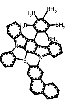 Bc1c(B)c(B)c(-c2c3c4ccccc4n4c3c3c5c2c2ccccc2n5-c2cc5c(ccc6ccccc65)cc2B3c2ccccc2-4)c(B)c1B